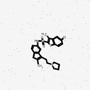 CC1=C(CCN2CCCC2)c2cc(NS(=O)(=O)c3sc4ccc(Cl)cc4c3C)ccc2C1